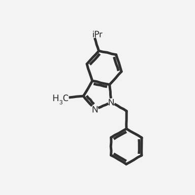 Cc1nn(Cc2ccccc2)c2ccc(C(C)C)cc12